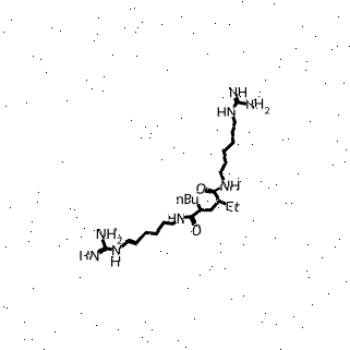 CCCCC(CC(CC)C(=O)NCCCCCCNC(=N)N)C(=O)NCCCCCCNC(=N)N